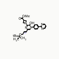 COC(=O)C1CN(C2=NC(/C=C/CO[Si](C)(C)C(C)(C)C)=CN(c3ccc(-c4ncccn4)cc3)C2O)C1